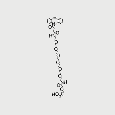 O=C(O)COCC(=O)NCCOCCOCCOCCOCCOCCOCCNC(=O)CCC(=O)N1Cc2ccccc2C#Cc2ccccc21